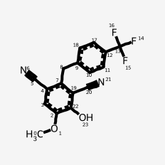 COc1cc(C#N)c(Cc2ccc(C(F)(F)F)cc2)c(C#N)c1O